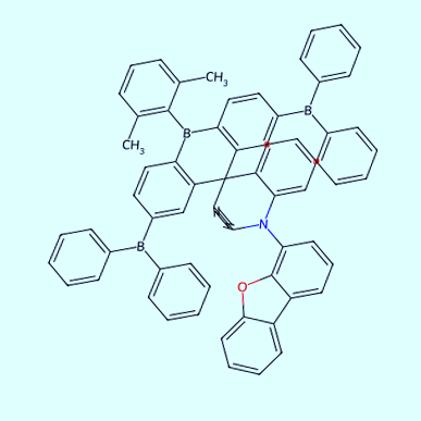 Cc1cccc(C)c1B1c2ccc(B(c3ccccc3)c3ccccc3)cc2C2(c3cc(B(c4ccccc4)c4ccccc4)ccc31)c1ccccc1N(c1cccc3c1oc1ccccc13)c1ccccc12